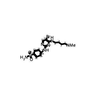 CNCCCCNc1nc(Nc2ccc(S(N)(=O)=O)cc2)ncc1Br